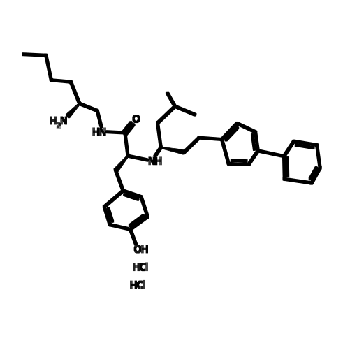 CCCC[C@H](N)CNC(=O)[C@H](Cc1ccc(O)cc1)N[C@H](CCc1ccc(-c2ccccc2)cc1)CC(C)C.Cl.Cl